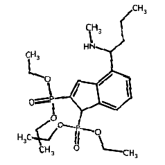 CCCC(NC)c1cccc2c1C=C(P(=O)(OCC)OCC)C2P(=O)(OCC)OCC